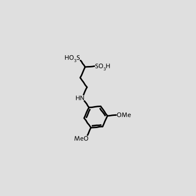 COc1cc(NCCC(S(=O)(=O)O)S(=O)(=O)O)cc(OC)c1